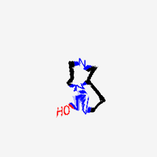 ON1CC=C2C=NC=CN21